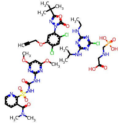 C#CCOc1cc(-n2nc(C(C)(C)C)oc2=O)c(Cl)cc1Cl.CCNc1nc(Cl)nc(NC(C)C)n1.COc1cc(OC)nc(NC(=O)NS(=O)(=O)c2ncccc2C(=O)N(C)C)n1.O=C(O)CNCP(=O)(O)O